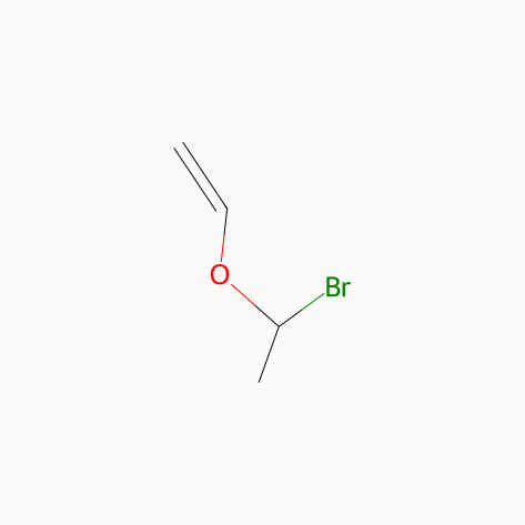 C=COC(C)Br